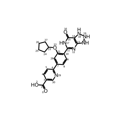 O=C(O)c1ccc(-c2ccc(-c3nc4c(c(=O)[nH]3)NNN4)c(OC3CCCC3)c2)nc1